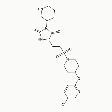 O=C1NC(CCS(=O)(=O)N2CCC(Oc3ccc(Cl)cn3)CC2)C(=O)N1C1CCCNC1